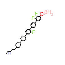 BCOc1ccc(-c2ccc(-c3ccc(C4CCC(C5CCC(CC/C=C/C)CC5)CC4)cc3F)cc2)c(F)c1F